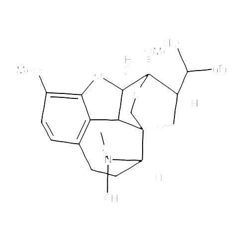 CCCC(O)[C@H]1C[C@@]23CC[C@@]1(OC)[C@@H]1Oc4c(OC)ccc5c4[C@@]12CCN(C)[C@@H]3CC5